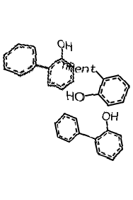 CCCCCc1ccccc1O.Oc1ccccc1-c1ccccc1.Oc1ccccc1-c1ccccc1